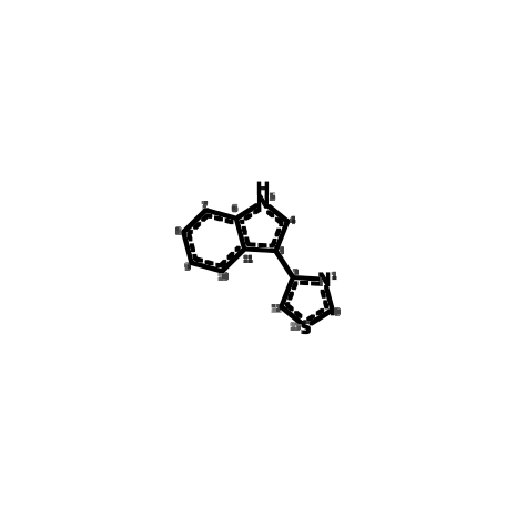 [c]1nc(-c2c[nH]c3ccccc23)cs1